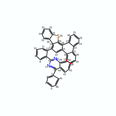 c1ccc(-c2nc(-c3ccccc3-c3cc4c5ccccc5c5ccccc5c4c4sc5ccccc5c34)nc3ccccc23)cc1